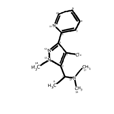 CC(c1c(Cl)c(-c2ccccn2)nn1C)N(C)C